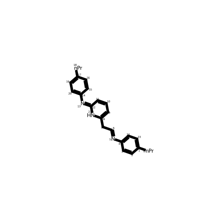 CCCc1ccc(N=CCc2cccc(=Nc3ccc(CCC)cc3)[nH]2)cc1